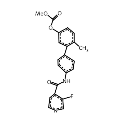 COC(=O)Oc1ccc(C)c(-c2ccc(NC(=O)c3ccncc3F)cc2)c1